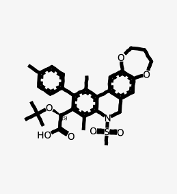 Cc1ccc(-c2c(C)c3c(c(C)c2[C@H](OC(C)(C)C)C(=O)O)N(S(C)(=O)=O)Cc2cc4c(cc2-3)OCCCO4)cc1